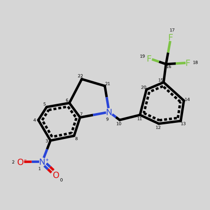 O=[N+]([O-])c1ccc2c(c1)N(Cc1cccc(C(F)(F)F)c1)CC2